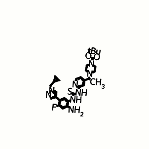 CC(c1ccnc(NC(=S)Nc2cc(-c3cnn(CC4CC4)c3)c(F)cc2N)c1)N1CCN(C(=O)OC(C)(C)C)CC1